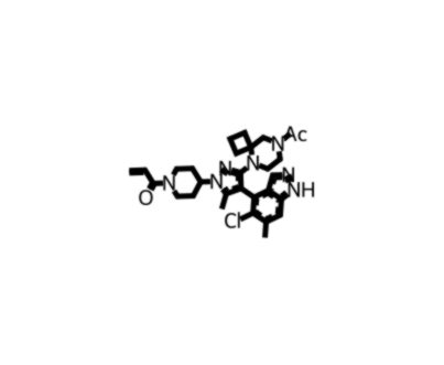 C=CC(=O)N1CCC(n2nc(N3CCN(C(C)=O)CC34CCC4)c(-c3c(Cl)c(C)cc4[nH]ncc34)c2C)CC1